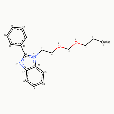 COCCOCOCCn1c(-c2ccccc2)nc2ccccc21